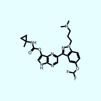 CN(C)CCCn1nc(-c2cnc3[nH]cc(OC(=O)NC4(C)CC4)c3n2)c2cc(OC(F)F)ccc21